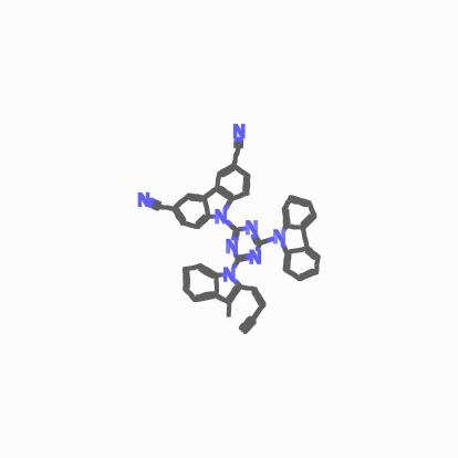 C#C/C=C\c1c(C)c2ccccc2n1-c1nc(-n2c3ccccc3c3ccccc32)nc(-n2c3ccc(C#N)cc3c3cc(C#N)ccc32)n1